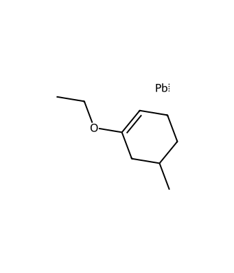 CCOC1=CCCC(C)C1.[Pb]